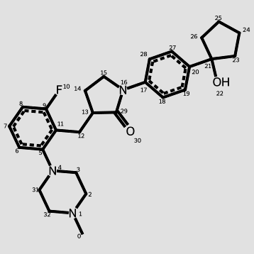 CN1CCN(c2cccc(F)c2CC2CCN(c3ccc(C4(O)CCCC4)cc3)C2=O)CC1